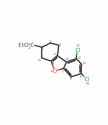 CCOC(=O)C1CCc2c(oc3cc(Cl)cc(Cl)c23)C1